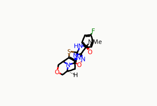 CNC(=O)Nc1nc2c(s1)C1COC[C@H](C2)N1c1nc(-c2ccc(F)cc2)no1